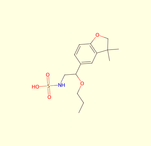 CCCOC(CNS(=O)(=O)O)c1ccc2c(c1)C(C)(C)CO2